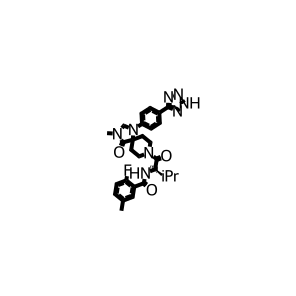 Cc1ccc(F)c(C(=O)N[C@@H](C(=O)N2CCC3(CC2)C(=O)N(C)CN3c2ccc(-c3nn[nH]n3)cc2)C(C)C)c1